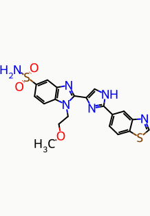 COCCn1c(-c2c[nH]c(-c3ccc4scnc4c3)n2)nc2cc(S(N)(=O)=O)ccc21